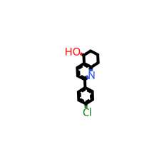 OC1CCCc2nc(-c3ccc(Cl)cc3)ccc21